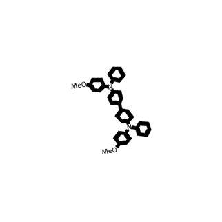 COc1ccc(N(c2ccccc2)c2ccc(-c3ccc(N(c4ccccc4)c4ccc(OC)cc4)cc3)cc2)cc1